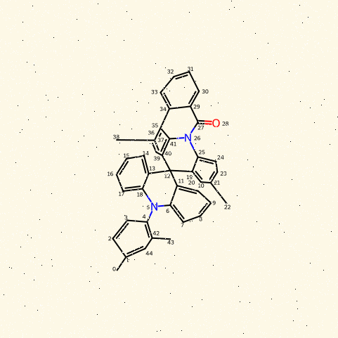 Cc1ccc(N2c3ccccc3C3(c4ccccc42)c2cc(C)ccc2-n2c(=O)c4ccccc4c4cc(C)cc3c42)c(C)c1